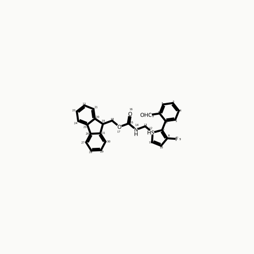 O=Cc1ccccc1C1=C(F)C=C[SH]1CNC(=O)OCC1c2ccccc2-c2ccccc21